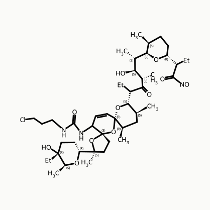 CCC(C(=O)[C@@H](C)[C@@H](O)[C@H](C)[C@@H]1O[C@@H](C(CC)C(=O)N=O)CC[C@@H]1C)[C@H]1O[C@]2(C=CC(NC(=O)NCCCCl)[C@]3(CC[C@@](C)([C@H]4CC[C@](O)(CC)[C@H](C)O4)O3)O2)[C@H](C)C[C@@H]1C